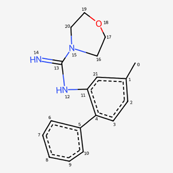 Cc1ccc(-c2ccccc2)c(NC(=N)N2CCOCC2)c1